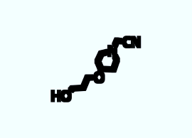 N#CCN1CCC(OCCCO)CC1